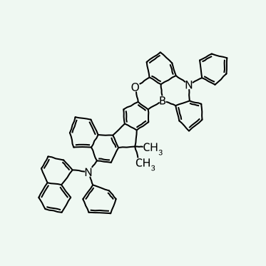 CC1(C)c2cc3c(cc2-c2c1cc(N(c1ccccc1)c1cccc4ccccc14)c1ccccc21)Oc1cccc2c1B3c1ccccc1N2c1ccccc1